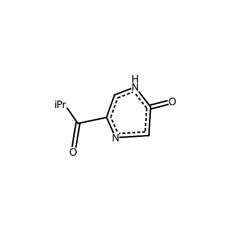 CC(C)C(=O)c1c[nH]c(=O)cn1